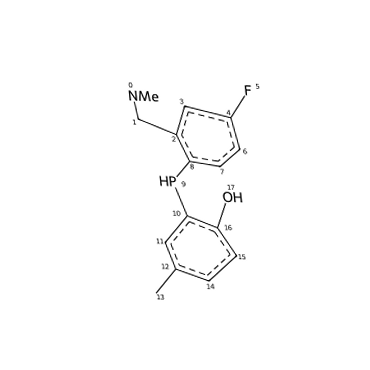 CNCc1cc(F)ccc1Pc1cc(C)ccc1O